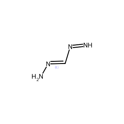 N=N/C=N/N